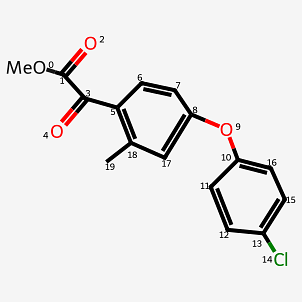 COC(=O)C(=O)c1ccc(Oc2ccc(Cl)cc2)cc1C